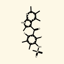 C=S(C)(=O)Nc1c(C)c(C)c(F)c(C(=O)c2c(C)[nH]c3nc(C)c(C)c(C)c23)c1F